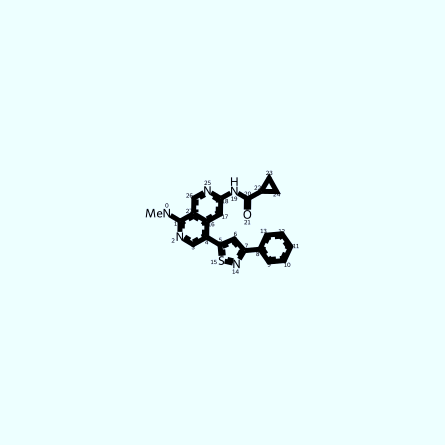 CNc1ncc(-c2cc(-c3ccccc3)ns2)c2cc(NC(=O)C3CC3)ncc12